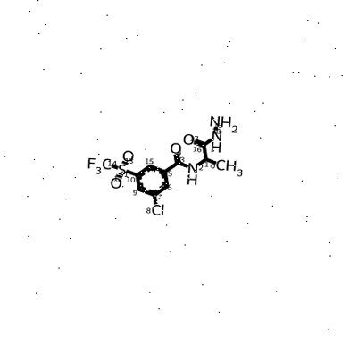 CC(NC(=O)c1cc(Cl)cc(S(=O)(=O)C(F)(F)F)c1)C(=O)NN